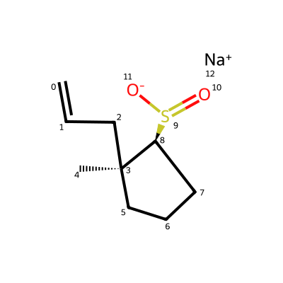 C=CC[C@]1(C)CCC[C@@H]1S(=O)[O-].[Na+]